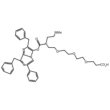 CNCCN(CCOCCOCCOCCC(=O)O)C(=O)Oc1c(Cc2ccccc2)nc2c(Cc3ccccc3)nc(-c3ccccc3)cn12